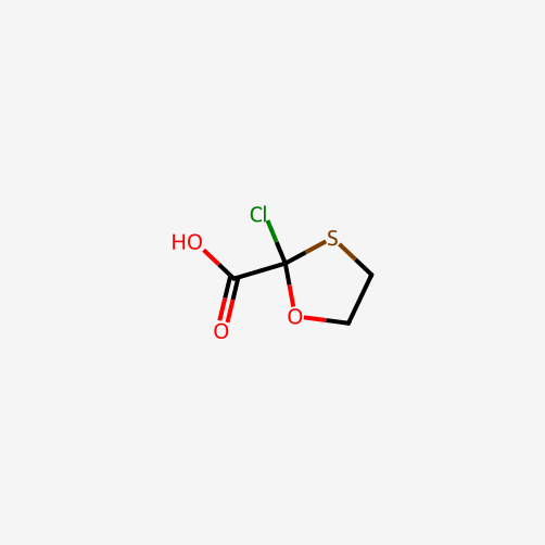 O=C(O)C1(Cl)OCCS1